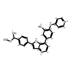 CCOC(O)c1ccc(-c2cc3nccc(-c4ccc(Oc5ccncc5)c(C#N)c4)c3o2)cc1